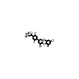 Cc1cc(Cl)cc(Cl)c1Oc1ncc(-c2cc(F)c(C(=O)CS(C)(=O)=O)cc2F)cc1Br